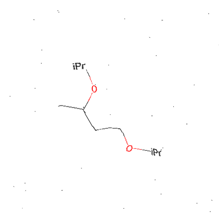 C[C](CCOC(C)C)OC(C)C